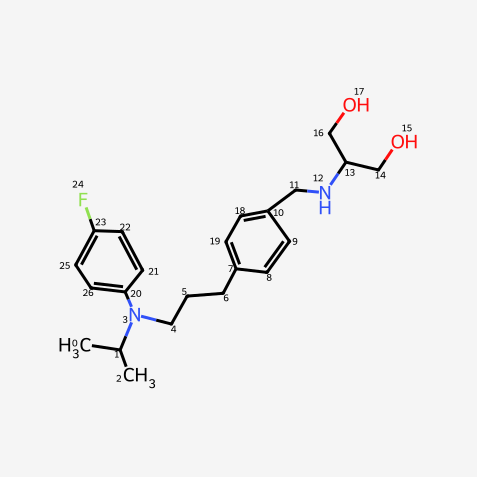 CC(C)N(CCCc1ccc(CNC(CO)CO)cc1)c1ccc(F)cc1